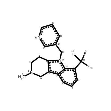 CN1CCc2c(c3cccc(C(F)(F)F)c3n2Cc2cccnc2)C1